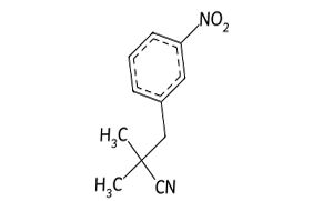 CC(C)(C#N)Cc1cccc([N+](=O)[O-])c1